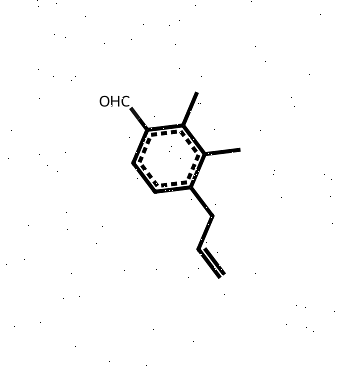 C=CCc1ccc(C=O)c(C)c1C